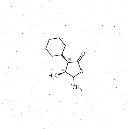 CC1OC(=O)[C@H](C2CCCCC2)[C@@H]1C